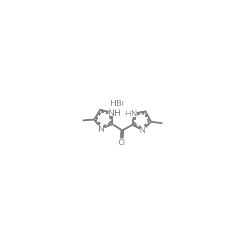 Br.Cc1c[nH]c(C(=O)c2nc(C)c[nH]2)n1